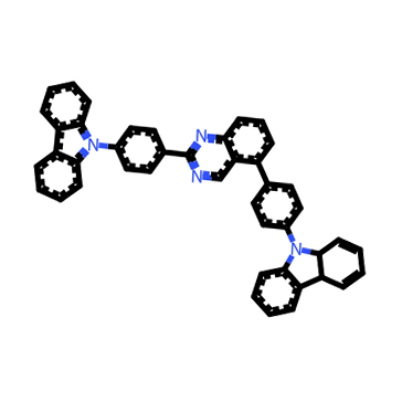 C1=CC2c3ccccc3N(c3ccc(-c4cccc5nc(-c6ccc(-n7c8ccccc8c8ccccc87)cc6)ncc45)cc3)C2C=C1